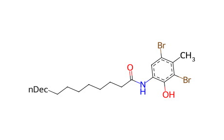 CCCCCCCCCCCCCCCCCC(=O)Nc1cc(Br)c(C)c(Br)c1O